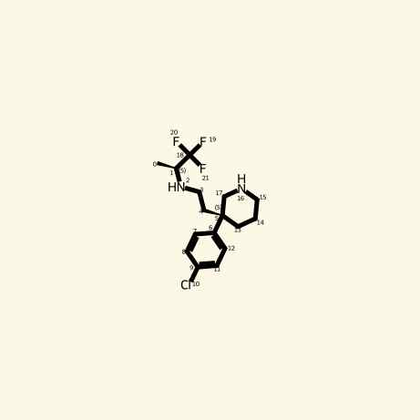 C[C@H](NCC[C@]1(c2ccc(Cl)cc2)CCCNC1)C(F)(F)F